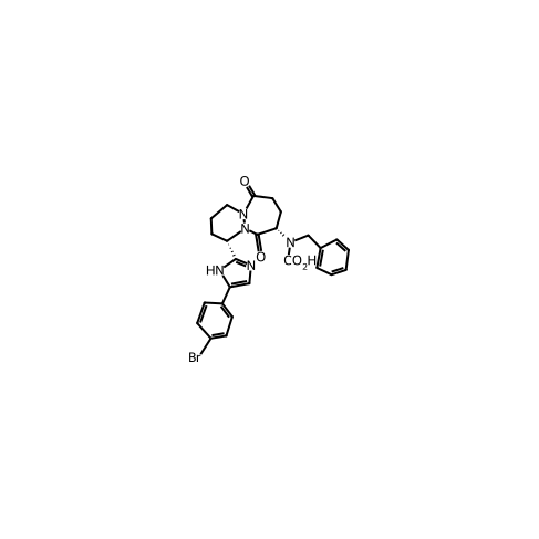 O=C(O)N(Cc1ccccc1)[C@H]1CCC(=O)N2CCC[C@@H](c3ncc(-c4ccc(Br)cc4)[nH]3)N2C1=O